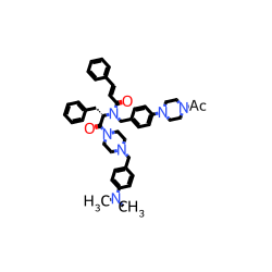 CC(=O)N1CCN(c2ccc(CN(C(=O)C=Cc3ccccc3)[C@@H](Cc3ccccc3)C(=O)N3CCN(Cc4ccc(N(C)C)cc4)CC3)cc2)CC1